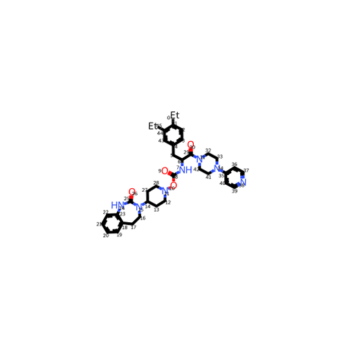 CCc1ccc(CC(NC(=O)ON2CCC(N3CCc4ccccc4NC3=O)CC2)C(=O)N2CCN(c3ccncc3)CC2)cc1CC